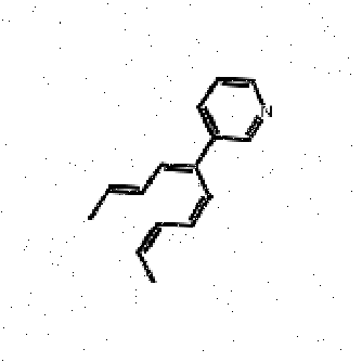 C\C=C/C=C\C(=C/C=C/C)c1cccnc1